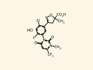 Cl.Cn1c(C(F)(F)F)cc(=O)n(-c2cc(C3=NOC(C)(C(=O)O)C3)c(Cl)cc2F)c1=O